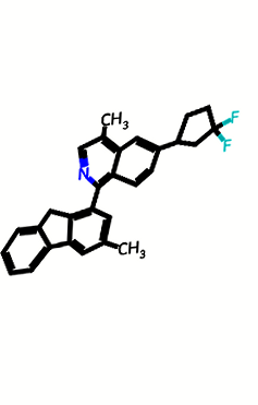 Cc1cc2c(c(-c3ncc(C)c4cc(C5CCC(F)(F)C5)ccc34)c1)Cc1ccccc1-2